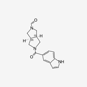 O=CN1C[C@@H]2CN(C(=O)c3ccc4[nH]ccc4c3)C[C@@H]2C1